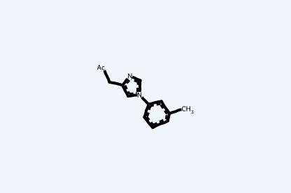 CC(=O)Cc1cn(-c2cccc(C)c2)cn1